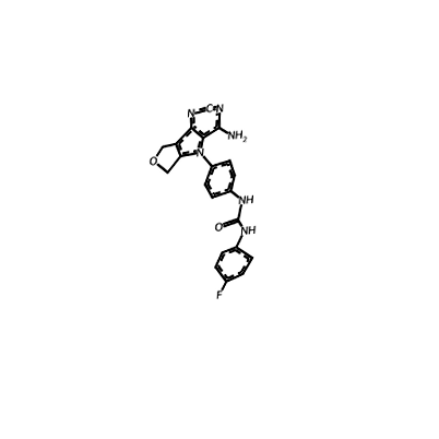 Nc1ncnc2c3c(n(-c4ccc(NC(=O)Nc5ccc(F)cc5)cc4)c12)COC3